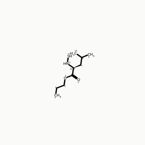 CCCOC(=O)[C@H](CC(C)C)NS